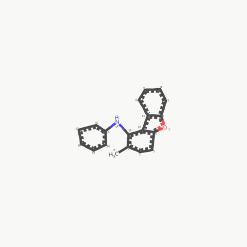 Cc1ccc2oc3ccccc3c2c1Nc1ccccc1